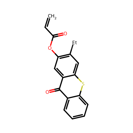 C=CC(=O)Oc1cc2c(=O)c3ccccc3sc2cc1CC